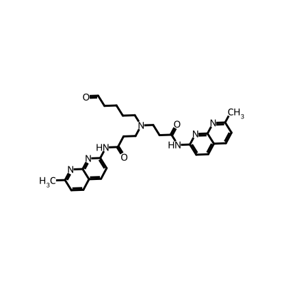 Cc1ccc2ccc(NC(=O)CCN(CCCCC=O)CCC(=O)Nc3ccc4ccc(C)nc4n3)nc2n1